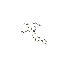 COC[C@H](CN(c1cc(OC)cc(OC)c1)c1ccc2ncc(-c3cnn(C)c3)nc2c1)OC(C)=O